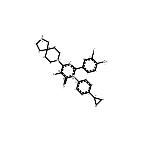 N#Cc1ccc(-c2nc(N3CCC4(CCNC4)CC3)c(F)c(=O)n2-c2ccc(C3CC3)cc2)cc1F